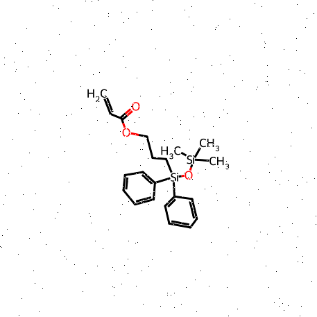 C=CC(=O)OCCC[Si](O[Si](C)(C)C)(c1ccccc1)c1ccccc1